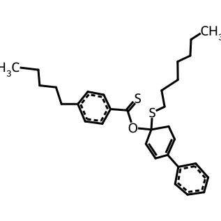 CCCCCCCSC1(OC(=S)c2ccc(CCCCC)cc2)C=CC(c2ccccc2)=CC1